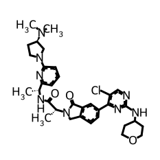 C[C@H](C(=O)N[C@H](C)c1cccc(N2CC[C@@H](N(C)C)C2)n1)N1Cc2ccc(-c3nc(NC4CCOCC4)ncc3Cl)cc2C1=O